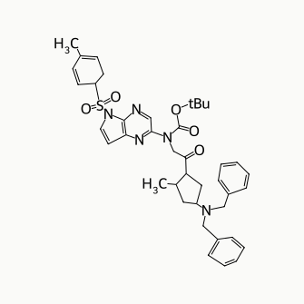 CC1=CCC(S(=O)(=O)n2ccc3nc(N(CC(=O)C4CC(N(Cc5ccccc5)Cc5ccccc5)CC4C)C(=O)OC(C)(C)C)cnc32)C=C1